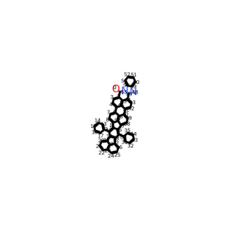 O=c1c2ccc3c4ccc5c6c(-c7ccccc7)c7c8cccc9cccc(c7c(-c7ccccc7)c6c6ccc(c7ccc(c2c37)c2nc3ccccc3n12)c4c56)c98